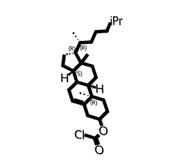 CC(C)CCC[C@@H](C)[C@H]1CC[C@H]2C3CC=C4CC(OC(=O)Cl)CC[C@]4(C)[C@H]3CCC12C